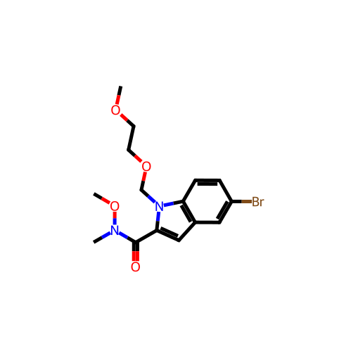 COCCOCn1c(C(=O)N(C)OC)cc2cc(Br)ccc21